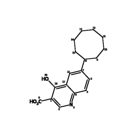 O=C(O)c1cnc2ccc(C3CCCCCCC3)cc2c1O